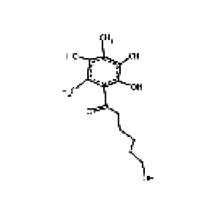 Cc1c(C)c(O)c(C(=O)CCCCCO)c(C)c1O